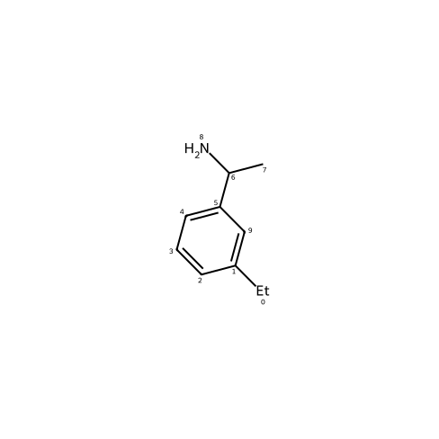 CCc1cccc(C(C)N)c1